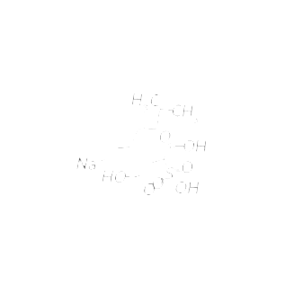 CC(C)CCCC[CH2][Na].O=C(O)CC(C(=O)O)S(=O)(=O)O